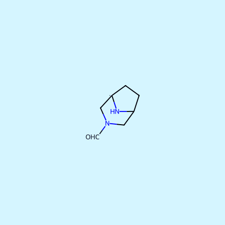 O=CN1C[C]2CCC(C1)N2